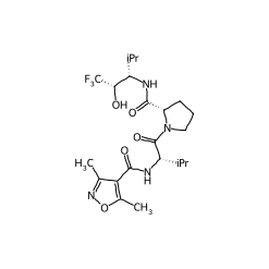 Cc1noc(C)c1C(=O)N[C@H](C(=O)N1CCC[C@H]1C(=O)N[C@@H](C(C)C)[C@H](O)C(F)(F)F)C(C)C